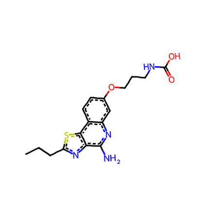 CCCc1nc2c(N)nc3cc(OCCCNC(=O)O)ccc3c2s1